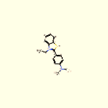 CC[n+]1c(-c2ccc(N(C)C)cc2)sc2ccccc21